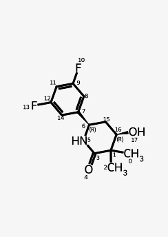 CC1(C)C(=O)N[C@@H](c2cc(F)cc(F)c2)C[C@H]1O